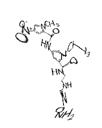 Cn1cc(NC(=O)c2cc([N+](=O)[O-])cn2C)cc1C(=O)NCCNC=NON